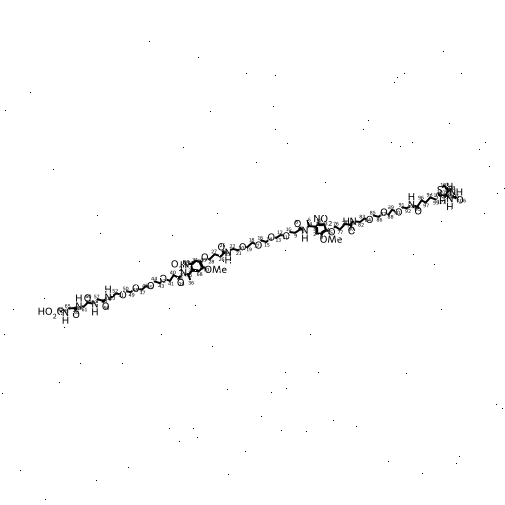 COc1cc(C(C)NC(=O)CCOCCOCCOCCOCCNC(=O)CCCOc2cc([N+](=O)[O-])c(C(C)NC(=O)CCOCCOCCOCCOCCNC(=O)CNC(=O)CNC(=O)CNC(=O)O)cc2OC)c([N+](=O)[O-])cc1OCCCC(=O)NCCOCCOCCOCCNC(=O)CCCC[C@@H]1SC[C@@H]2NC(=O)N[C@@H]21